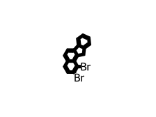 Brc1ccc2ccc3c(c2c1Br)Cc1ccccc1-3